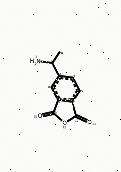 CC(N)c1ccc2c(c1)C(=O)OC2=O